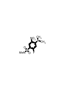 CNS(=O)(=O)c1cc([N+](=O)[O-])c(N(C)C)cc1F